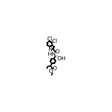 CCOC(=O)C(CC)c1ccc([C@@H](CO)NC(=O)c2cc3c(Cl)c(Cl)ccc3n2C)cc1